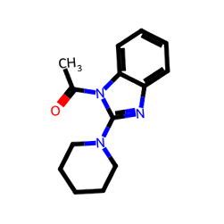 CC(=O)n1c(N2CCCCC2)nc2ccccc21